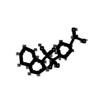 O=[N+]([O-])c1ccc(S(=O)(=O)S(=O)(=O)c2cccc3ccccc23)cc1